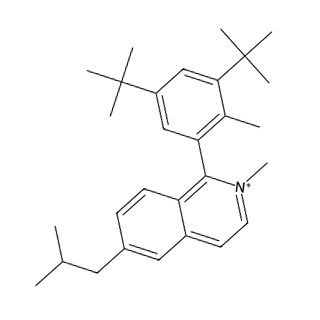 Cc1c(-c2c3ccc(CC(C)C)cc3cc[n+]2C)cc(C(C)(C)C)cc1C(C)(C)C